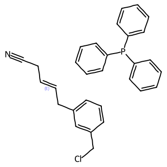 N#CC/C=C/Cc1cccc(CCl)c1.c1ccc(P(c2ccccc2)c2ccccc2)cc1